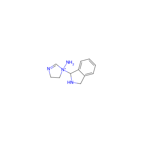 N[N+]1(C2NCc3ccccc32)C=NCC1